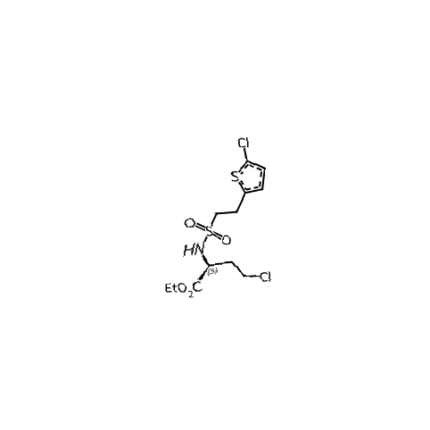 CCOC(=O)[C@H](CCCl)NS(=O)(=O)CCc1ccc(Cl)s1